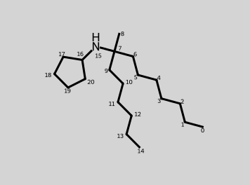 CCCCCCCC(C)(CCCCCC)NC1CCCC1